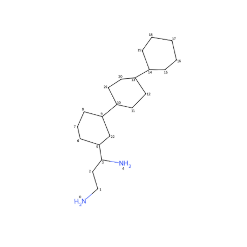 NCCC(N)C1CCCC(C2CCC(C3CCCCC3)CC2)C1